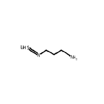 NCCCN=S.[LiH]